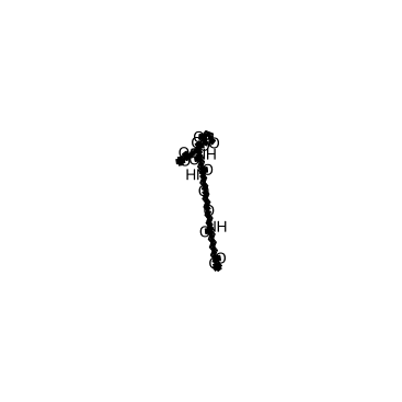 CC(C)(C)OC(=O)CCCCCCC(=O)NCCCOCCCCOCCCNC(=O)CCC(=O)NC(CCC(=O)OC(C)(C)C)C(=O)ON1C(=O)CCC1=O